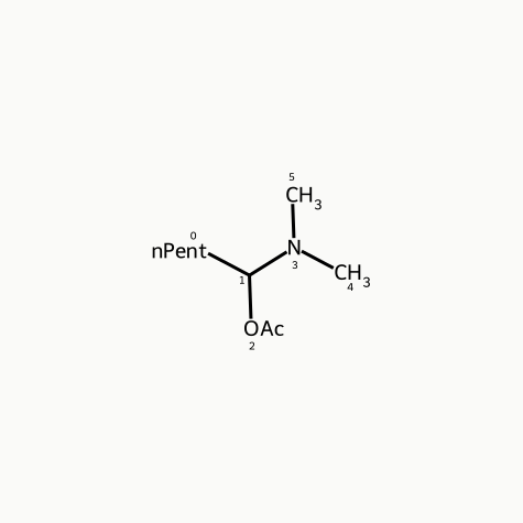 CCCCCC(OC(C)=O)N(C)C